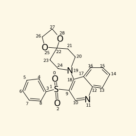 O=S(=O)(c1ccccc1)c1cnc2ccccc2c1N1CCC2(CC1)OCCO2